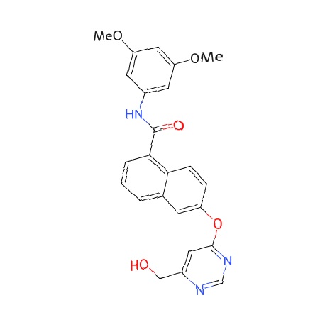 COc1cc(NC(=O)c2cccc3cc(Oc4cc(CO)ncn4)ccc23)cc(OC)c1